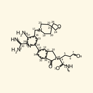 CNC(=O)C(CCC=O)N1Cc2cc(-c3cc(CN4CCC5(CC4)COC5)c(N)c(C(=N)N)n3)ccc2C1=O